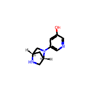 Oc1cncc(N2C[C@@H]3C[C@H]2CN3)c1